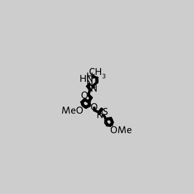 COc1ccc(-c2nc(COc3cc(OC)cc4oc(-c5c[nH]c(/C=C\C(C)=N)n5)cc34)cs2)cc1